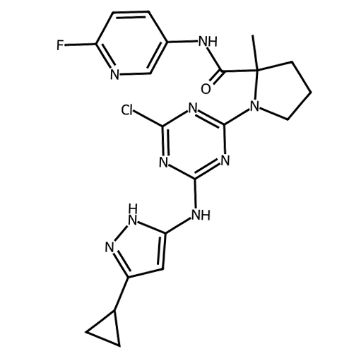 CC1(C(=O)Nc2ccc(F)nc2)CCCN1c1nc(Cl)nc(Nc2cc(C3CC3)n[nH]2)n1